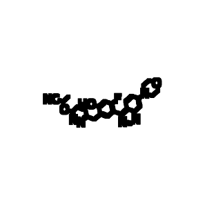 CC(C#N)Oc1ccc(Cc2cc(-c3ncnc4cc(N5CCOCC5)ccc34)c(F)cc2O)nn1